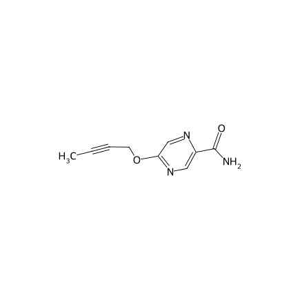 CC#CCOc1cnc(C(N)=O)cn1